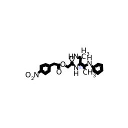 CC(=N)/C(NC(=O)COC(=O)Cc1ccc([N+](=O)[O-])cc1)=C(/C)Nc1ccccc1